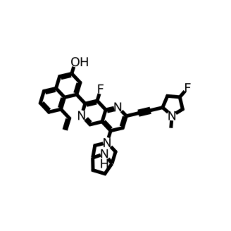 C=Cc1cccc2cc(O)cc(-c3ncc4c(N5CC6CCC(C5)N6)cc(C#CC5CC(F)CN5C)nc4c3F)c12